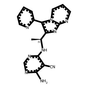 C[C@H](Nc1ncnc(N)c1C#N)c1nc2ncccn2c1-c1ccccn1